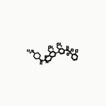 CCc1cc(NS(=O)(=O)c2ccccc2Cl)ccc1-c1cc(CC)c2nc(NC3CCC(N)CC3)ncc2c1